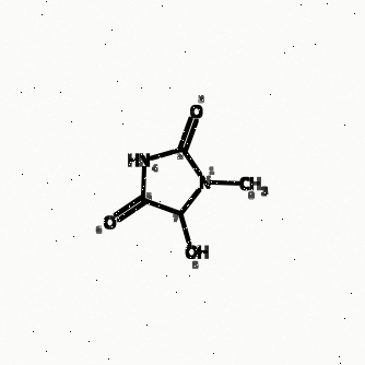 CN1C(=O)NC(=O)C1O